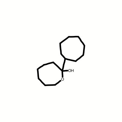 OC1(C2CCCCCCC2)CCCCCCO1